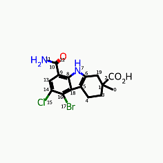 CC1(C(=O)O)CCc2c([nH]c3c(C(N)=O)cc(Cl)c(Br)c23)C1